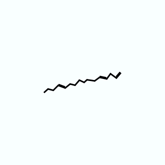 C=CCC=CCCCCCCC=CCCC